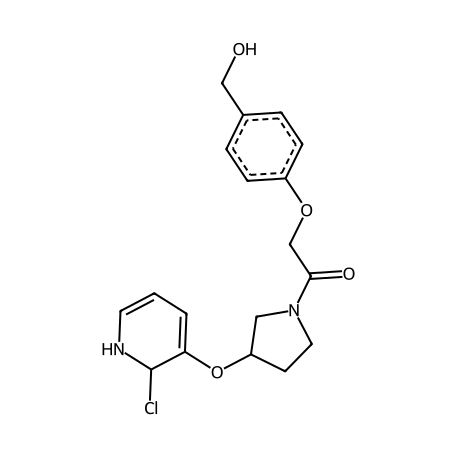 O=C(COc1ccc(CO)cc1)N1CCC(OC2=CC=CNC2Cl)C1